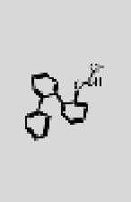 OBOc1ccccc1-c1ccccc1-c1ccccc1